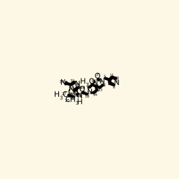 CN1C(=O)N(Cc2ccncc2)CCC12CCN(CC(=O)NN(CC(C)(C)C)c1cncc(C#N)n1)CC2